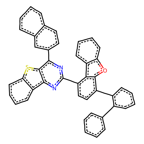 c1ccc(-c2ccccc2-c2ccc(-c3nc(-c4ccc5ccccc5c4)c4sc5ccccc5c4n3)c3c2oc2ccccc23)cc1